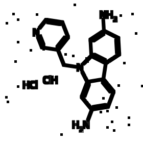 Cl.Cl.Nc1ccc2c3ccc(N)cc3n(Cc3cccnc3)c2c1